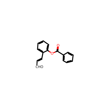 O=C/C=C/c1ccccc1OC(=O)c1ccccc1